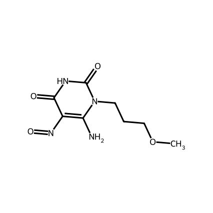 COCCCn1c(N)c(N=O)c(=O)[nH]c1=O